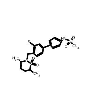 CC1CC[C@H](C)N(Cc2ccc(-c3ccc(NS(C)(=O)=O)cc3)cc2F)S1(=O)=O